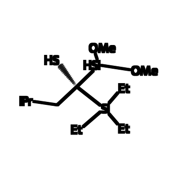 CC[Si](CC)(CC)[C@@](S)(CC(C)C)[SiH](OC)OC